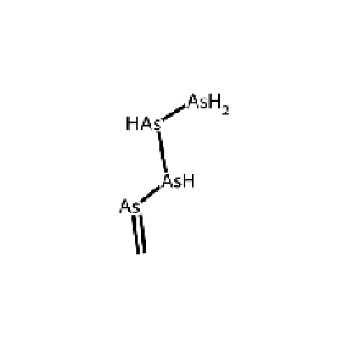 C=[As][AsH][AsH][AsH2]